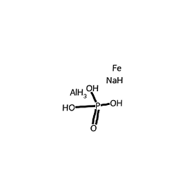 O=P(O)(O)O.[AlH3].[Fe].[NaH]